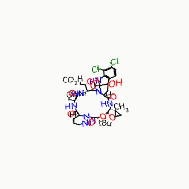 COC[C@@H]1NC(=O)[C@@H]2CCCNN2C(=O)[C@H](C(C)(C)C)OC(=O)[C@@H](C2(C)CC2)NC(=O)[C@@H]2C[C@@]3(O)c4ccc(Cl)c(Cl)c4N[C@H]3N2C(=O)[C@@H]([C@@H](O)CC(=O)O)NC1=O